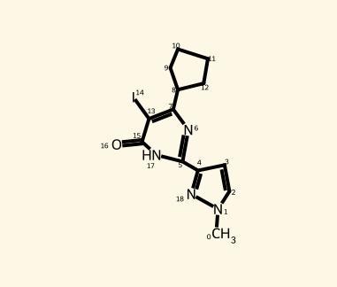 Cn1ccc(-c2nc(C3CCCC3)c(I)c(=O)[nH]2)n1